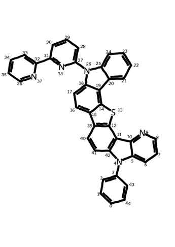 c1ccc(-n2c3cccnc3c3c4sc5c(ccc6c5c5ccccc5n6-c5cccc(-c6ccccn6)n5)c4ccc32)cc1